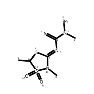 CC(C)N(C)C(=S)/N=C1\SC(C)S(=O)(=O)N1C